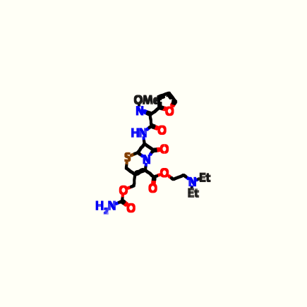 CCN(CC)CCOC(=O)C1=C(COC(N)=O)CSC2C(NC(=O)C(=NOC)c3ccco3)C(=O)N12